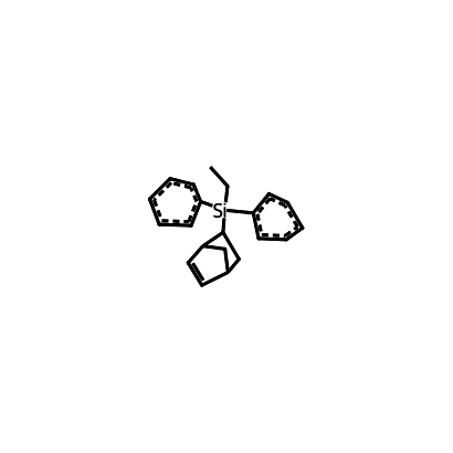 CC[Si](c1ccccc1)(c1ccccc1)C1CC2C=CC1C2